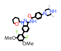 COc1cc(OC)c(F)c(-c2ccc3c(NC(=O)c4ccc(N5C[C@@H](C)N[C@@H](C)C5)cc4)nn(C4CCCCO4)c3c2)c1F